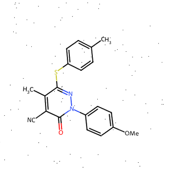 COc1ccc(-n2nc(Sc3ccc(C)cc3)c(C)c(C#N)c2=O)cc1